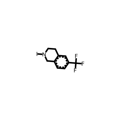 FC(F)(F)c1ccc2c(c1)CCN(I)C2